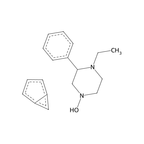 CCN1CCN(O)CC1c1ccccc1.c1cc2cc-2c1